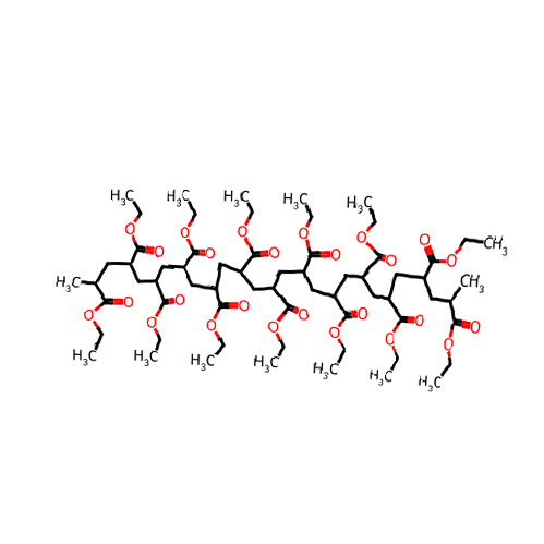 CCOC(=O)C(C)CC(CC(CC(CC(CC(CC(CC(CC(CC(CC(CC(CC(C)C(=O)OCC)C(=O)OCC)C(=O)OCC)C(=O)OCC)C(=O)OCC)C(=O)OCC)C(=O)OCC)C(=O)OCC)C(=O)OCC)C(=O)OCC)C(=O)OCC)C(=O)OCC